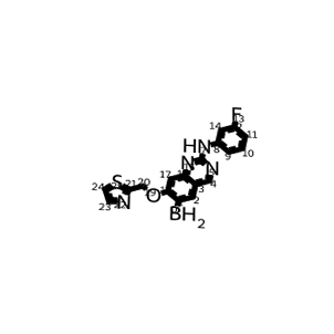 Bc1cc2cnc(Nc3cccc(F)c3)nc2cc1OCc1nccs1